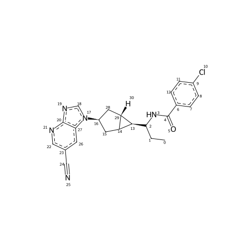 CCC(NC(=O)c1ccc(Cl)cc1)[C@H]1C2C[C@@H](n3cnc4ncc(C#N)cc43)C[C@@H]21